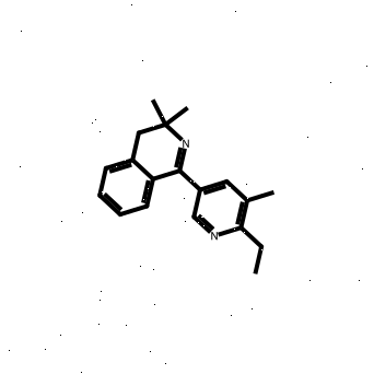 CCc1ncc(C2=NC(C)(C)Cc3ccccc32)cc1C